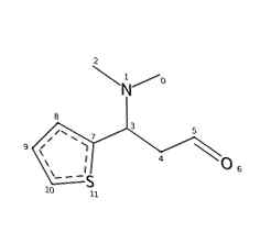 CN(C)C(CC=O)c1cccs1